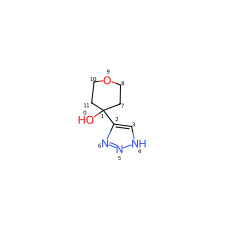 OC1(c2c[nH]nn2)CCOCC1